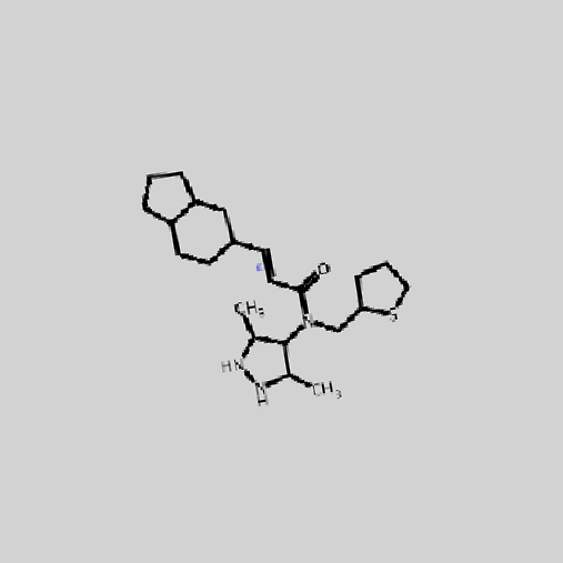 CC1NNC(C)C1N(CC1CCCS1)C(=O)/C=C/C1CCC2CCCC2C1